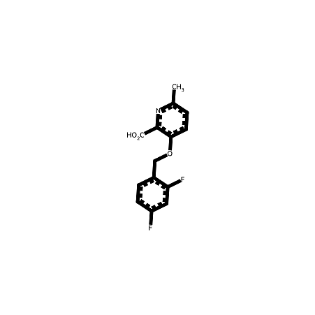 Cc1ccc(OCc2ccc(F)cc2F)c(C(=O)O)n1